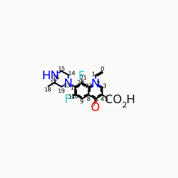 C=Cn1cc(C(=O)O)c(=O)c2cc(F)c(N3CCNC(C)C3)c(F)c21